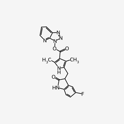 Cc1[nH]c(CC2C(=O)Nc3ccc(F)cc32)c(C)c1C(=O)On1nnc2cccnc21